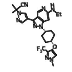 CCNc1cc2c(cn1)c(-c1cnn(C(C)(C)C#N)c1)nn2[C@H]1CC[C@@H](Oc2cn(C)nc2C(F)(F)F)CC1